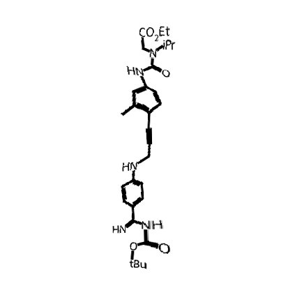 CCOC(=O)CN(C(=O)Nc1ccc(C#CCNc2ccc(C(=N)NC(=O)OC(C)(C)C)cc2)c(C)c1)C(C)C